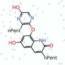 CCCCCc1nc(O)cnc1Oc1cc(O)cc2cc(CCCCC)c(=O)[nH]c12